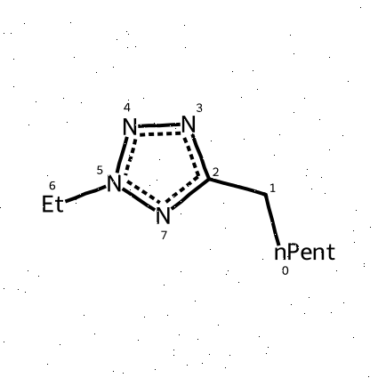 CCCCCCc1nnn(CC)n1